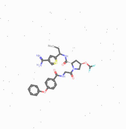 COCC(NC(=O)[C@@H]1C[C@@H](OC(F)F)CN1C(=O)CNC(=O)c1ccc(Oc2ccccc2)cc1)c1cc(C(=N)N)cs1